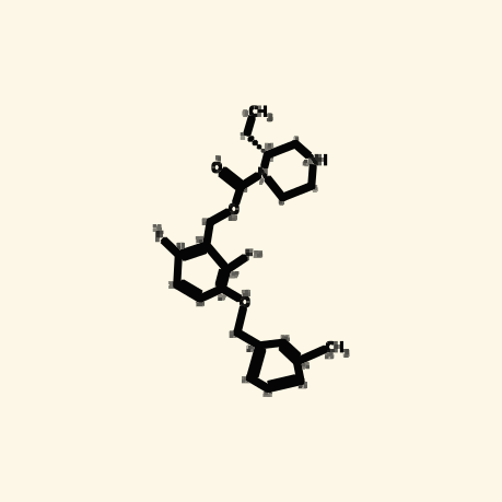 CC[C@@H]1CNCCN1C(=O)OCc1c(F)ccc(OCc2cccc(C)c2)c1F